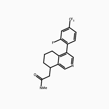 CNC(=O)CC1CCCc2c(-c3ccc(C(F)(F)F)cc3F)cncc21